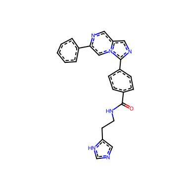 O=C(NCCc1cnc[nH]1)c1ccc(-c2ncc3cnc(-c4ccccc4)cn23)cc1